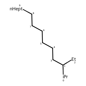 [CH2]C(C)C(CC)CCCCCCCCCCCCC